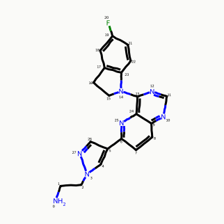 NCCn1cc(-c2ccc3ncnc(N4CCc5cc(F)ccc54)c3n2)cn1